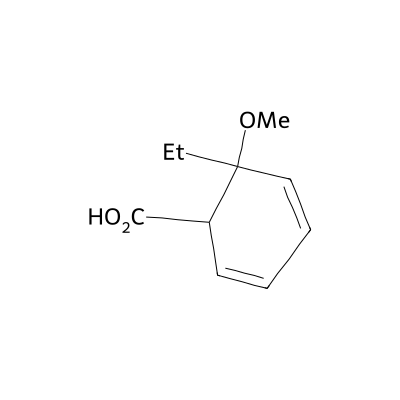 CCC1(OC)C=CC=CC1C(=O)O